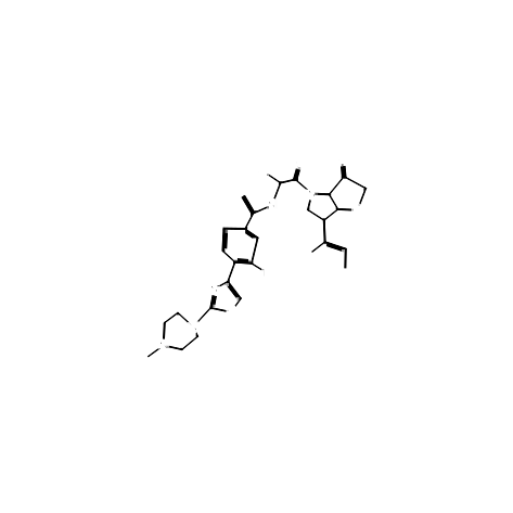 CC=C(C)C1CN(C(=O)C(NC(=O)c2ccc(-c3csc(N4CCN(C)CC4)n3)c(F)c2)C(C)CC)C2C(=O)COC12